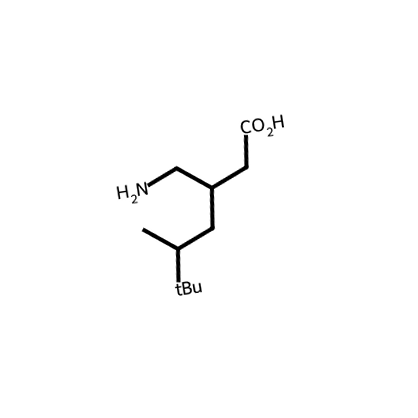 CC(CC(CN)CC(=O)O)C(C)(C)C